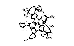 CC(C)(C)c1ccc(N2B3c4cc5c(cc4-n4c6ccc(C(C)(C)C)cc6c6c7c(sc8ccccc87)c(c3c64)-c3cc4c(cc32)C(C)(C)CCC4(C)C)C(C)(C)CCC5(C)C)cc1